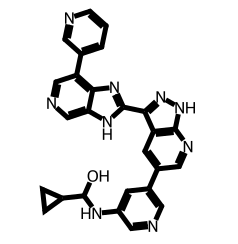 OC(Nc1cncc(-c2cnc3[nH]nc(-c4nc5c(-c6cccnc6)cncc5[nH]4)c3c2)c1)C1CC1